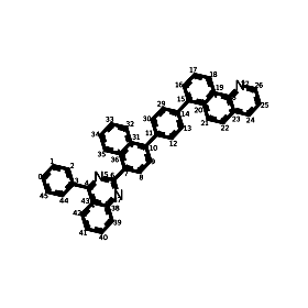 c1ccc(-c2nc(-c3ccc(-c4ccc(-c5cccc6c5ccc5cccnc56)cc4)c4ccccc34)nc3ccccc23)cc1